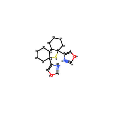 c1occ(C2(SC3(c4coc#[n+]4)CCCCC3)CCCCC2)[n+]#1